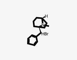 Br.CN1[C@@H]2CCC[C@@]1(Cc1ccccc1)CC2